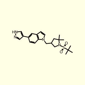 CC1(C)CC(Cn2ccc3cc(-c4cn[nH]c4)ccc32)CN1S(=O)(=O)C(C)(C)C